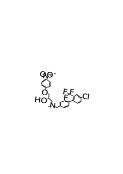 CN(Cc1ccc(-c2ccc(Cl)cc2C(F)(F)F)cc1)CC(O)COc1ccc([N+](=O)[O-])cc1